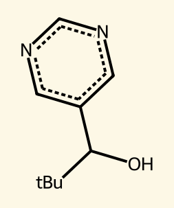 CC(C)(C)C(O)c1cncnc1